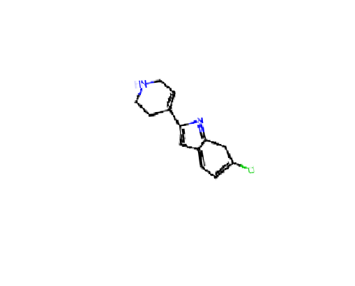 ClC1=CC=C2C=C(C3=CCNCC3)N=C2C1